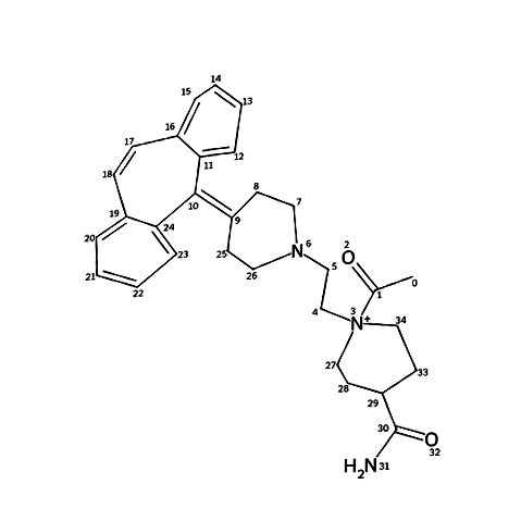 CC(=O)[N+]1(CCN2CCC(=C3c4ccccc4C=Cc4ccccc43)CC2)CCC(C(N)=O)CC1